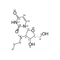 CCCSC1C(O)[C@@H](CO)O[C@H]1n1ccc(=O)[nH]c1=O